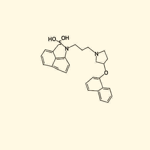 OS1(O)c2cccc3cccc(c23)N1CCCN1CCC(Oc2cccc3ccccc23)C1